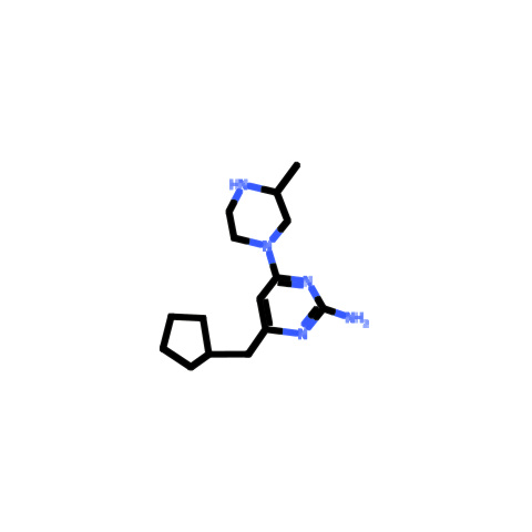 CC1CN(c2cc(CC3CCCC3)nc(N)n2)CCN1